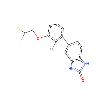 O=c1[nH]c2ccc(-c3cccc(OCC(F)F)c3Cl)cc2[nH]1